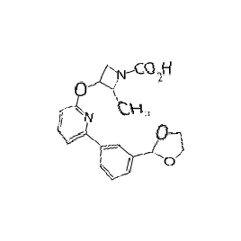 CC1C(Oc2cccc(-c3cccc(C4OCCO4)c3)n2)CN1C(=O)O